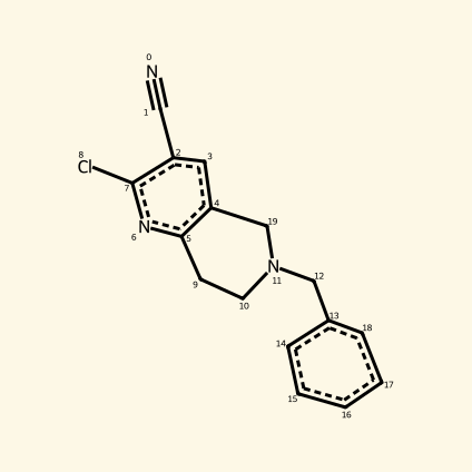 N#Cc1cc2c(nc1Cl)CCN(Cc1ccccc1)C2